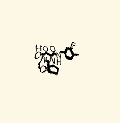 Cc1ccc(CNC(=O)c2nc3n(c(=O)c2O)CCOC32CCCC2)cc1F